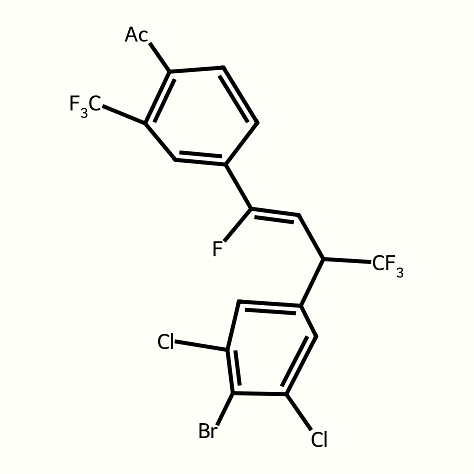 CC(=O)c1ccc(/C(F)=C/C(c2cc(Cl)c(Br)c(Cl)c2)C(F)(F)F)cc1C(F)(F)F